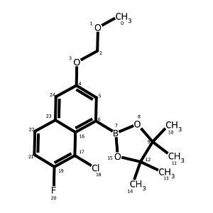 COCOc1cc(B2OC(C)(C)C(C)(C)O2)c2c(Cl)c(F)ccc2c1